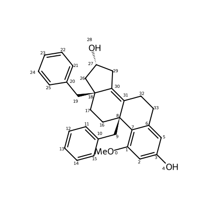 COc1cc(O)cc2c1[C@]1(Cc3ccccc3)CC[C@]3(Cc4ccccc4)C[C@H](O)CC3=C1CC2